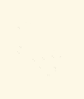 Cc1nc(NCc2cnn(Cc3ccc(C(F)(F)F)nc3)c2)nc2c1NC(=O)[C@H](C)N2C(C)C